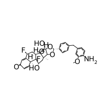 COc1cc(Cc2ccc([C@H]3O[C@@H]4C[C@H]5[C@@H]6C[C@H](F)C7=CC(=O)C=C[C@]7(C)[C@@]6(F)[C@@H](O)C[C@]5(C)[C@]4(C(=O)CO)O3)cc2)ccc1N